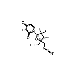 C[C@H]1C(F)(F)[C@H](n2ccc(=O)[nH]c2=O)O[C@@]1(CO)CN=[N+]=[N-]